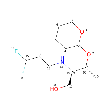 C[C@@H](OC1CCCCO1)[C@@H](CO)NCCC(F)F